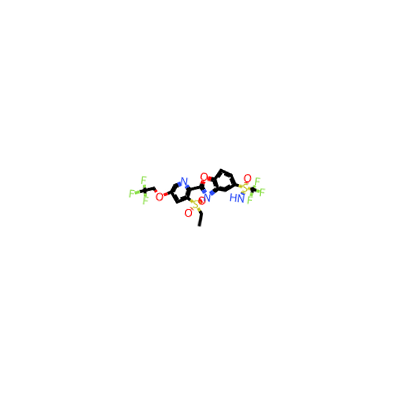 CCS(=O)(=O)c1cc(OCC(F)(F)F)cnc1-c1nc2cc(S(=N)(=O)C(F)(F)F)ccc2o1